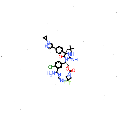 CC(C)(C)C[C@]1(c2ccc(-c3cnn(C4CC4)c3)cc2)NC(=N)N([C@H](COC(=O)N2CC(F)(F)C2)c2ccc(Cl)c(/C(N)=N/C=N)c2)C1=O